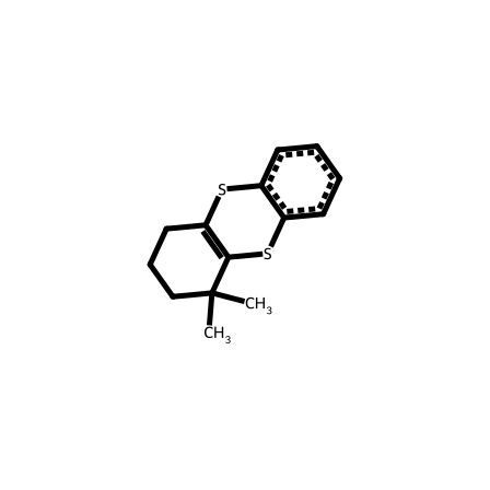 CC1(C)CCCC2=C1Sc1ccccc1S2